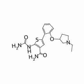 CCN1CCC(Oc2ccccc2-c2cc(C(N)=O)c(NC(N)=O)s2)C1